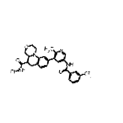 CCNC(=O)C1Cc2ccc(-c3cc(NC(=O)c4cccc(C(F)(F)F)c4)cnc3C)cc2N2CCOCC12